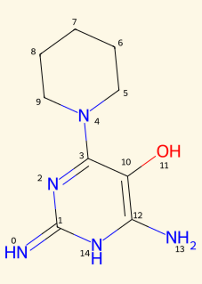 N=c1nc(N2CCCCC2)c(O)c(N)[nH]1